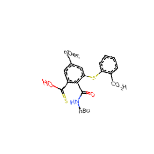 CCCCCCCCCCc1cc(Sc2ccccc2C(=O)O)c(C(=O)NCCCC)c(C(O)=S)c1